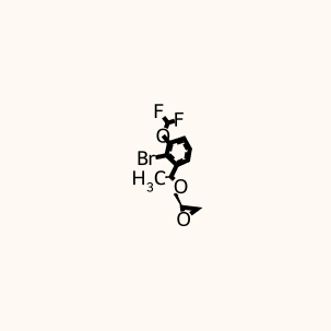 C[C@@H](OC[C@H]1CO1)c1cccc(OC(F)F)c1Br